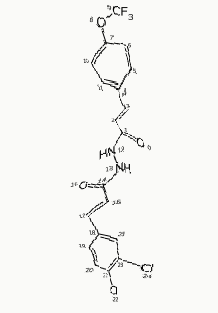 O=C(/C=C/c1ccc(OC(F)(F)F)cc1)NNC(=O)/C=C/c1ccc(Cl)c(Cl)c1